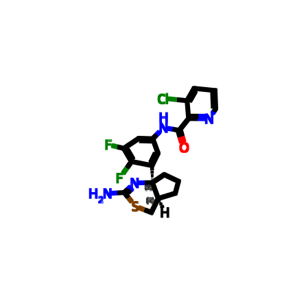 NC1=N[C@@]2(c3cc(NC(=O)c4ncccc4Cl)cc(F)c3F)CCC[C@H]2CS1